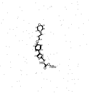 CC(C)(C)OC(=O)NCc1nc(-c2ccc(OCCCN3CCOCC3)cc2)cs1